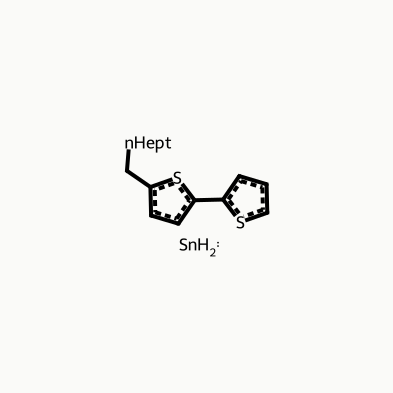 CCCCCCCCc1ccc(-c2cccs2)s1.[SnH2]